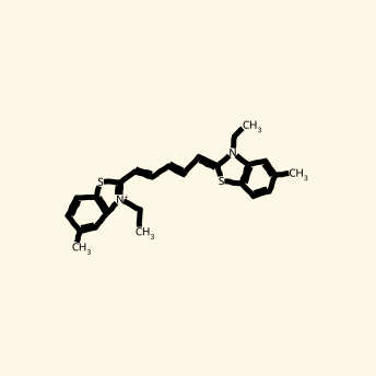 CCN1/C(=C/C=C/C=C/c2sc3ccc(C)cc3[n+]2CC)Sc2ccc(C)cc21